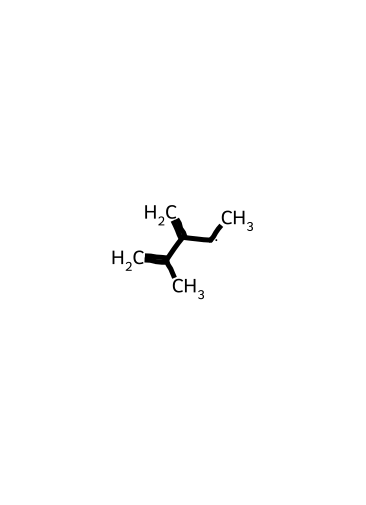 C=C(C)C(=C)[CH]C